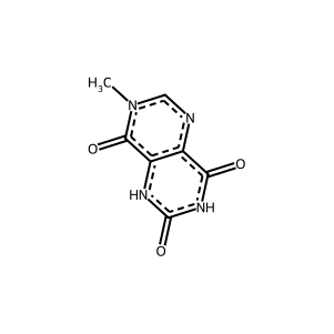 Cn1cnc2c(=O)[nH]c(=O)[nH]c2c1=O